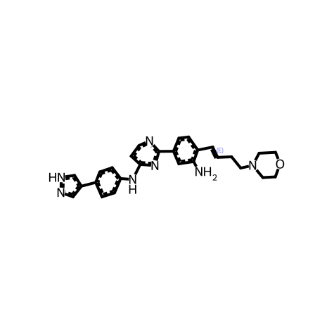 Nc1cc(-c2nccc(Nc3ccc(-c4cn[nH]c4)cc3)n2)ccc1/C=C/CCN1CCOCC1